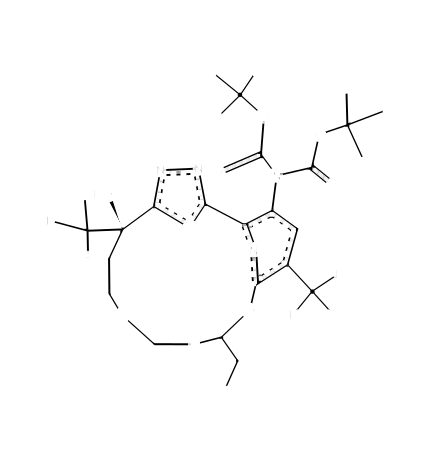 CCC1CCCCC[C@](O)(C(F)(F)F)c2nnc(o2)-c2nc(c(C(F)(F)F)cc2N(C(=O)OC(C)(C)C)C(=O)OC(C)(C)C)O1